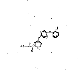 CCNC(=O)[C@@H]1CN(Cc2cnc(Oc3ccccc3Cl)cn2)CCO1